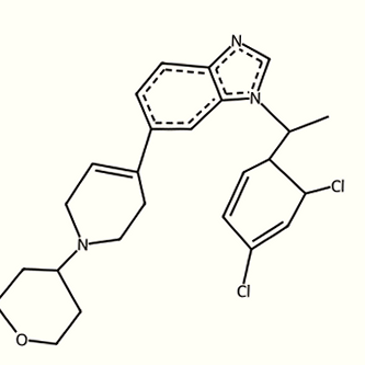 CC(C1C=CC(Cl)=CC1Cl)n1cnc2ccc(C3=CCN(C4CCOCC4)CC3)cc21